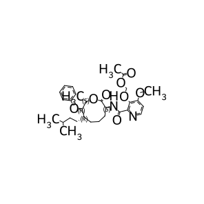 COc1ccnc(C(=O)N[C@H]2CCC[C@H](CCC(C)C)[C@@H](Oc3ccccc3)[C@H](C)OC2=O)c1OCOC(C)=O